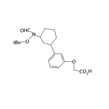 CC(C)(C)ON(C=O)C1CCCC(c2cccc(OCC(=O)O)c2)C1